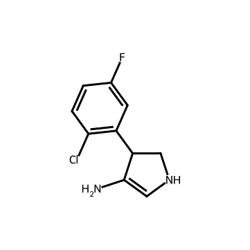 NC1=CNCC1c1cc(F)ccc1Cl